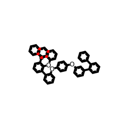 c1ccc(Oc2ccccc2Oc2c(-c3ccccc3)cccc2-c2ccccc2Oc2ccc(Oc3cccc(-c4ccccc4-c4ccccc4)c3)cc2)cc1